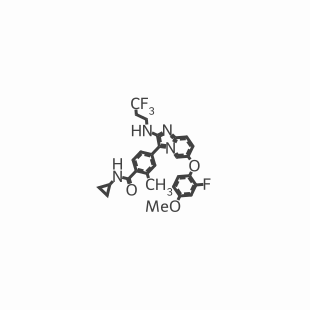 COc1ccc(Oc2ccc3nc(NCCC(F)(F)F)c(-c4ccc(C(=O)NC5CC5)c(C)c4)n3c2)c(F)c1